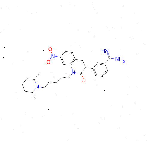 C[C@@H]1CCC[C@H](C)N1CCCCCN1C(=O)C(c2cccc(C(=N)N)c2)Cc2ccc([N+](=O)[O-])cc21